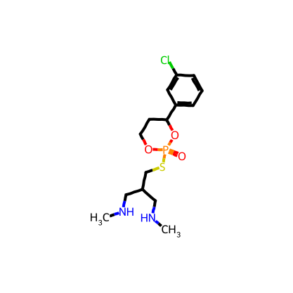 CNCC(CNC)CSP1(=O)OCCC(c2cccc(Cl)c2)O1